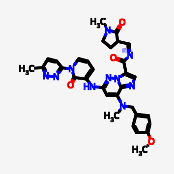 COc1ccc(CN(C)c2cc(Nc3cccn(-c4ccc(C)nn4)c3=O)nn3c(C(=O)/N=C\C4CCN(C)C4=O)cnc23)cc1